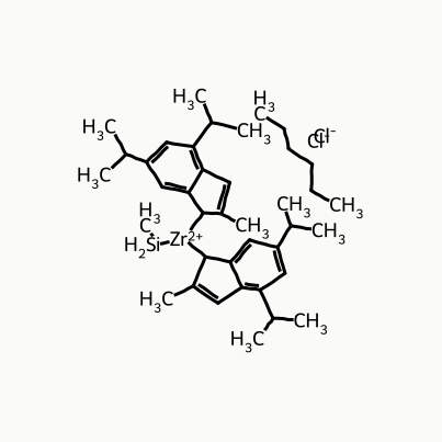 CCCCCC.C[SiH2][Zr+2]([CH]1C(C)=Cc2c(C(C)C)cc(C(C)C)cc21)[CH]1C(C)=Cc2c(C(C)C)cc(C(C)C)cc21.[Cl-].[Cl-]